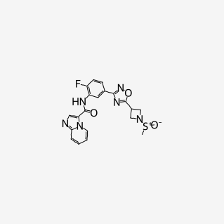 C[S+]([O-])N1CC(c2nc(-c3ccc(F)c(NC(=O)c4cnc5ccccn45)c3)no2)C1